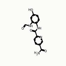 NC(=O)c1ccc(C(=O)Nc2ccc(O)cc2NC=O)nc1